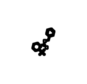 CC(C)(C)C1CCCCN1C(=O)OCc1ccccc1